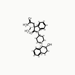 CC[C@@]1(CC(N)=O)C(=O)N(C2CCN([C@H]3c4ccccc4CC[C@@H]3O)CC2)c2ccccc21